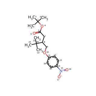 CC(C)(C)OC(=O)CC(COc1ccc([N+](=O)[O-])cc1)C(C)(C)C